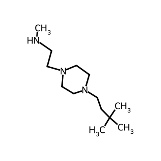 CNCCN1CCN(CCC(C)(C)C)CC1